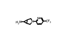 NC1C2CN(c3ccc(C(F)(F)F)cn3)CC12